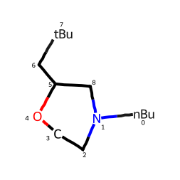 CCCCN1CCOC(CC(C)(C)C)C1